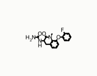 CN1C(=O)C(NC(N)=O)Cc2cccc(Oc3ccccc3F)c21